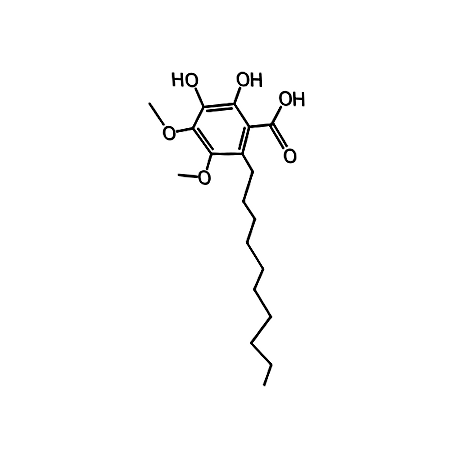 CCCCCCCCCCc1c(OC)c(OC)c(O)c(O)c1C(=O)O